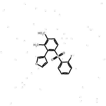 Cc1c(C(=O)O)ccc(S(=O)(=O)c2ccccc2F)c1-c1ccoc1